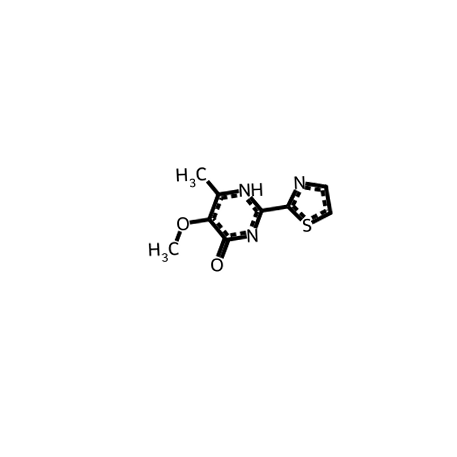 COc1c(C)[nH]c(-c2nccs2)nc1=O